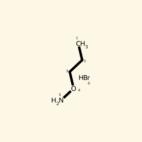 Br.CCCON